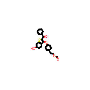 O=CO/C=C/c1ccc(Oc2c(C(=O)c3ccccc3)sc3cc(O)ccc23)cc1